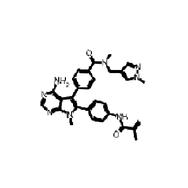 C=C(C)C(=O)Nc1ccc(-c2c(-c3ccc(C(=O)N(C)Cc4cnn(C)c4)cc3)c3c(N)ncnc3n2C)cc1